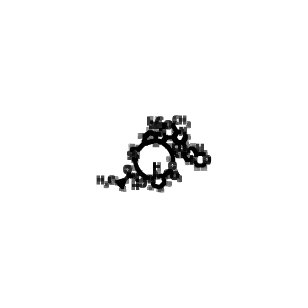 CO[C@@H](C)c1ncc(N2CCN3CCOC[C@@H]3C2)cc1-c1c2c3cc(ccc3n1CC(F)(F)F)C1CSC(=N1)C[C@H](NC(=O)[C@H]1C[C@@H]1C)C(=O)N1CCC[C@@](C)(N1)C(=O)OCC(C)(C)C2